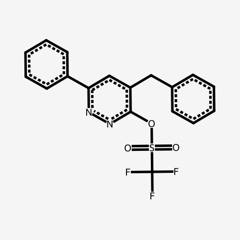 O=S(=O)(Oc1nnc(-c2ccccc2)cc1Cc1ccccc1)C(F)(F)F